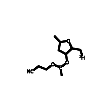 [2H]CC1OC(C)CC1OP(C)OCCC#N